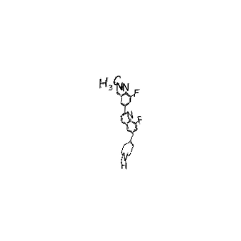 Cn1cc2cc(-c3ccc4cc(C5CCNCC5)cc(F)c4n3)cc(F)c2n1